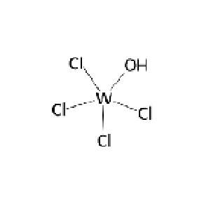 [OH][W]([Cl])([Cl])([Cl])[Cl]